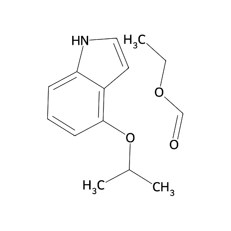 CC(C)Oc1cccc2[nH]ccc12.CCOC=O